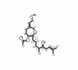 CSCC=C1CC[C@@H](OC(C)=O)[C@](C)(CCCC(C)C(=O)CC=C(C)C)OC1